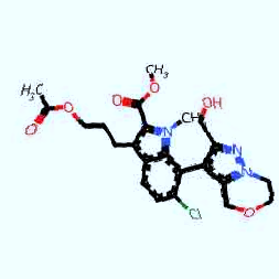 COC(=O)c1c(CCCOC(C)=O)c2ccc(Cl)c(-c3c(CO)nn4c3COCC4)c2n1C